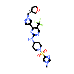 Cn1cnc(S(=O)(=O)N2CCC(Nc3ncc(C(F)(F)F)c(-c4cnn(C[C@H]5CCOC5)c4)n3)CC2)c1